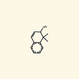 CCCC1C=Cc2ccccc2C1(C)C